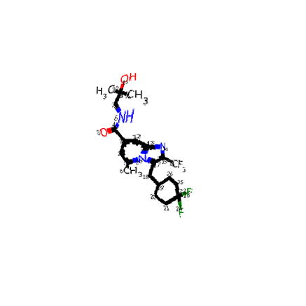 Cc1cc(C(=O)NCC(C)(C)O)cc2nc(C(F)(F)F)c(CC3CCC(F)(F)CC3)n12